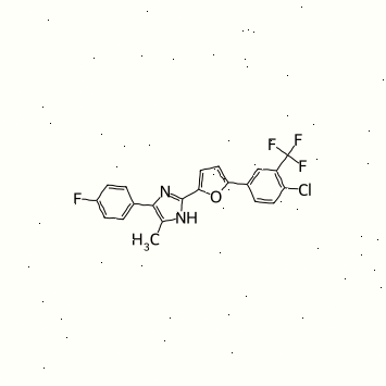 Cc1[nH]c(-c2ccc(-c3ccc(Cl)c(C(F)(F)F)c3)o2)nc1-c1ccc(F)cc1